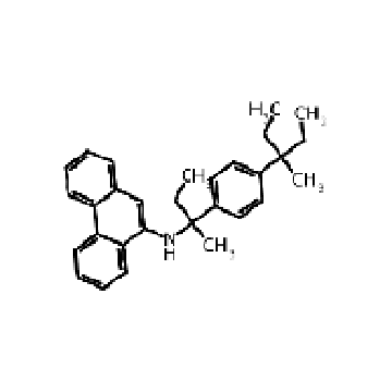 CCC(C)(CC)c1ccc(C(C)(CC)Nc2cc3ccccc3c3ccccc23)cc1